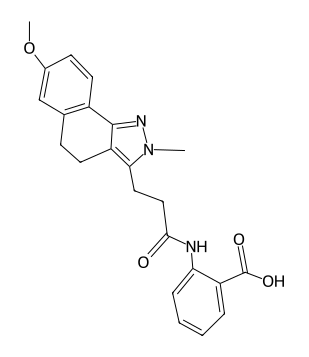 COc1ccc2c(c1)CCc1c-2nn(C)c1CCC(=O)Nc1ccccc1C(=O)O